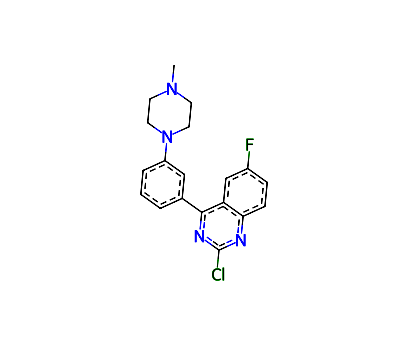 CN1CCN(c2cccc(-c3nc(Cl)nc4ccc(F)cc34)c2)CC1